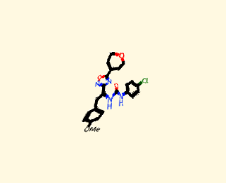 COc1ccc(CC(NC(=O)Nc2ccc(Cl)cc2)c2noc(C3CCOCC3)n2)cc1